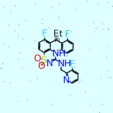 CC[C@H](c1ccccc1F)c1c(F)ccc2c1NC(NCc1ncccc1F)=NS2(=O)=O